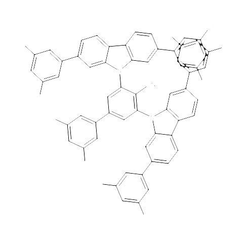 N#Cc1c(-n2c3cc(-c4cc(C(F)(F)F)cc(C(F)(F)F)c4)ccc3c3ccc(-c4cc(C(F)(F)F)cc(C(F)(F)F)c4)cc32)cc(-c2cc(C(F)(F)F)cc(C(F)(F)F)c2)cc1-n1c2cc(-c3cc(C(F)(F)F)cc(C(F)(F)F)c3)ccc2c2ccc(-c3cc(C(F)(F)F)cc(C(F)(F)F)c3)cc21